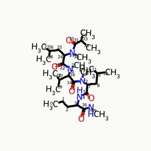 CCCC(NC(=O)C(CC(C)C)N(C)C(=O)C(C(C)C)N(C)C(=O)C(CC(C)C)N(C)C(=O)C(C)C)C(=O)NC